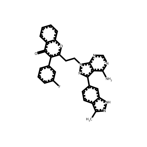 Cc1n[nH]c2cc(-c3nn(CCc4oc5ccccc5c(=O)c4-c4cccc(F)c4)c4ncnc(N)c34)ccc12